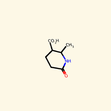 CC1NC(=O)CCC1C(=O)O